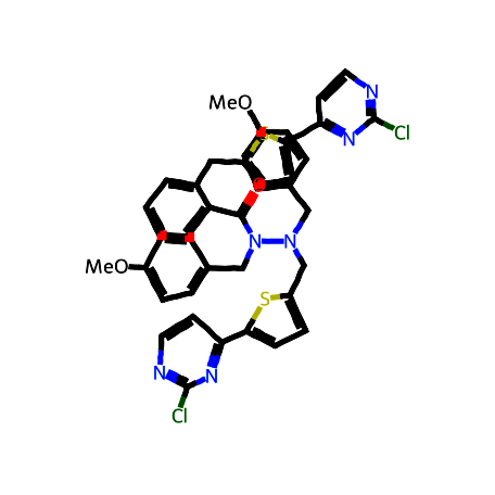 COc1ccc(CN(Cc2ccc(-c3ccnc(Cl)n3)s2)N(Cc2ccc(OC)cc2)C(=O)c2ccccc2Cc2ccc(-c3ccnc(Cl)n3)s2)cc1